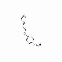 C=COCCOc1ccc(S(=O)(=O)O)cc1